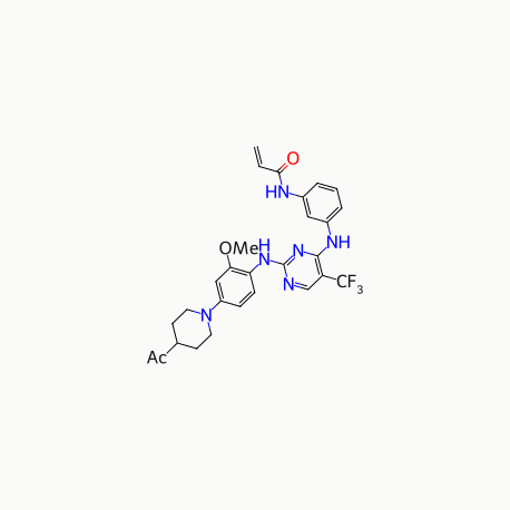 C=CC(=O)Nc1cccc(Nc2nc(Nc3ccc(N4CCC(C(C)=O)CC4)cc3OC)ncc2C(F)(F)F)c1